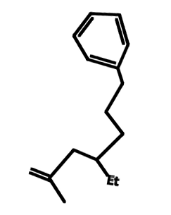 C=C(C)CC(CC)CCCc1ccccc1